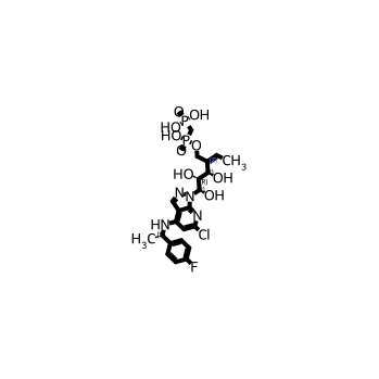 C/C=C(/COP(=O)(O)CP(=O)(O)O)[C@@H](O)[C@@H](O)[C@@H](O)n1ncc2c(N[C@@H](C)c3ccc(F)cc3)cc(Cl)nc21